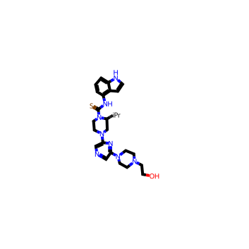 CC(C)C1CN(c2cncc(N3CCN(CCO)CC3)n2)CCN1C(=S)Nc1cccc2[nH]ccc12